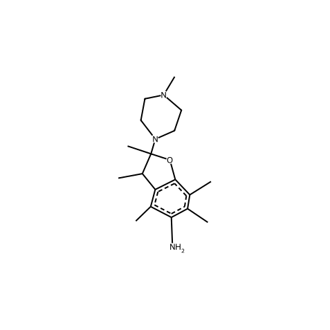 Cc1c(C)c2c(c(C)c1N)C(C)C(C)(N1CCN(C)CC1)O2